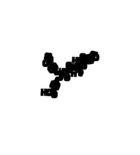 CCOC(=O)[C@H](CNC(=O)CNC(=O)C(CCC1CCN(C(=O)O)CC1)CCC1CCN(C(=O)OC(C)(C)C)CC1)NS(=O)(=O)c1ccc2c(c1)CCO2